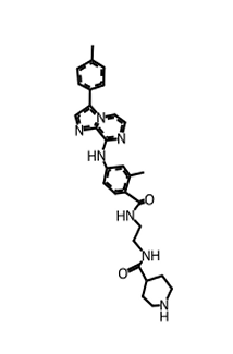 Cc1ccc(-c2cnc3c(Nc4ccc(C(=O)NCCNC(=O)C5CCNCC5)c(C)c4)nccn23)cc1